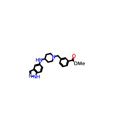 COC(=O)c1cccc(CN2CCC(Nc3ccc4[nH]ncc4c3)CC2)c1